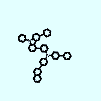 c1ccc(-c2ccc(N(c3ccc(-c4ccc5ccccc5c4)cc3)c3cccc(-c4cccc5c4c4cc(-c6ccccc6)ccc4n5-c4ccccc4)c3)cc2)cc1